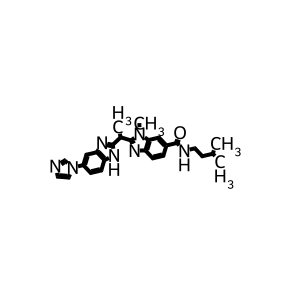 CC(C)CCNC(=O)c1ccc2nc(C(C)c3nc4cc(-n5ccnc5)ccc4[nH]3)n(C)c2c1